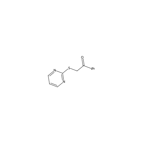 CC(C)C(=O)CSc1ncccn1